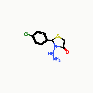 NNN1C(=O)CSC1c1ccc(Cl)cc1